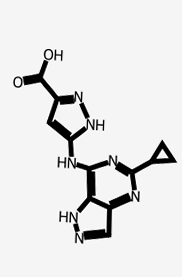 O=C(O)c1cc(Nc2nc(C3CC3)nc3cn[nH]c23)[nH]n1